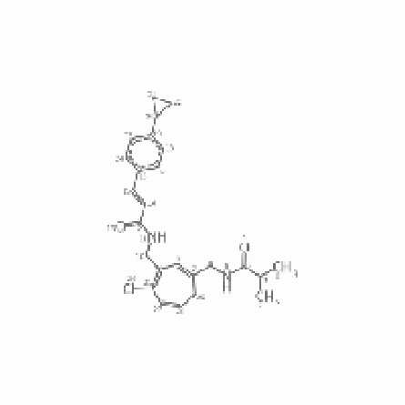 CC(C)C(=O)NCC1=CC(CNC(=O)/C=C/c2ccc(C3CC3)cc2)=C(Cl)C=CC1